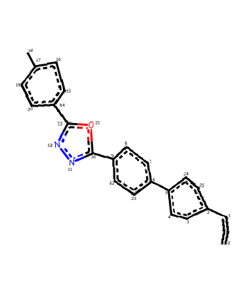 C=Cc1ccc(-c2ccc(-c3nnc(-c4ccc(C)cc4)o3)cc2)cc1